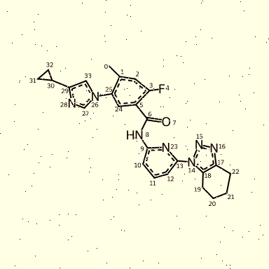 Cc1cc(F)c(C(=O)Nc2cccc(-n3nnc4c3CCCC4)n2)cc1-n1cnc(C2CC2)c1